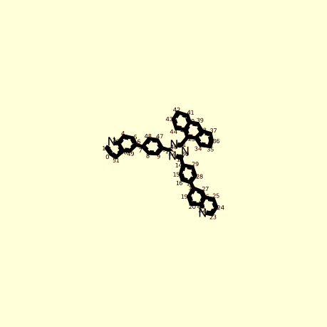 c1cnc2ccc(-c3ccc(-c4nc(-c5ccc(-c6ccc7ncccc7c6)cc5)nc(-c5c6ccccc6cc6ccccc56)n4)cc3)cc2c1